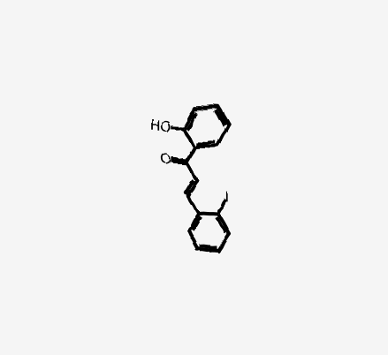 O=C(C=Cc1ccccc1I)c1ccccc1O